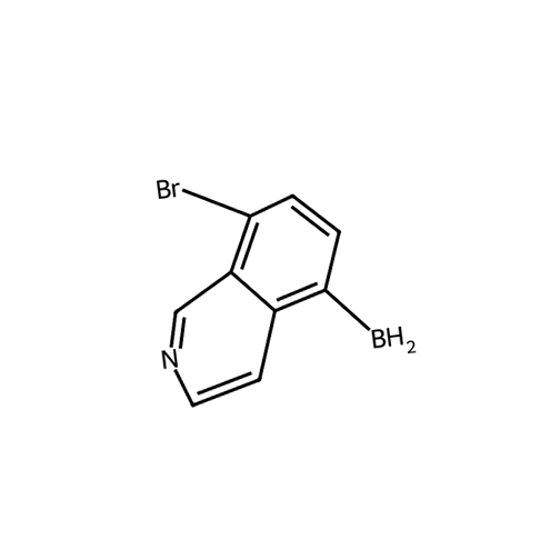 Bc1ccc(Br)c2cnccc12